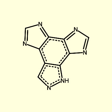 C1=Nc2c(c3c(c4[nH]ncc24)N=CN=3)=N1